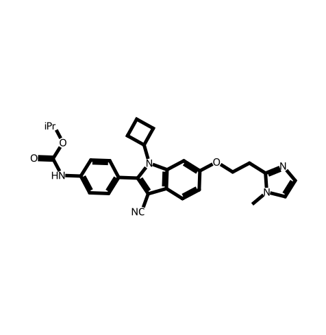 CC(C)OC(=O)Nc1ccc(-c2c(C#N)c3ccc(OCCc4nccn4C)cc3n2C2CCC2)cc1